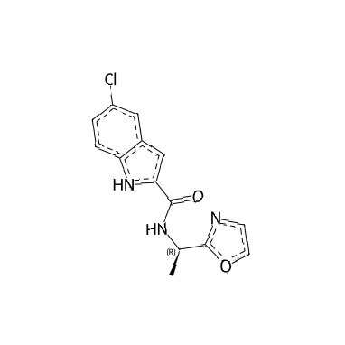 C[C@@H](NC(=O)c1cc2cc(Cl)ccc2[nH]1)c1ncco1